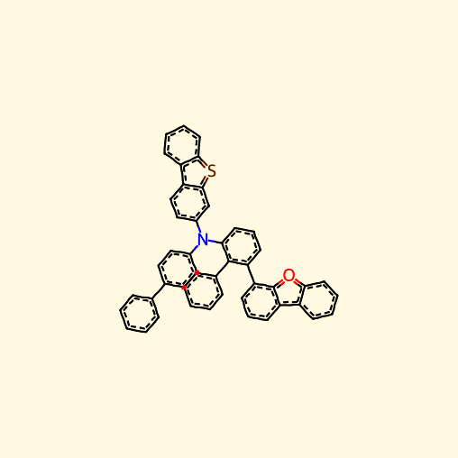 c1ccc(-c2ccc(N(c3ccc4c(c3)sc3ccccc34)c3cccc(-c4cccc5c4oc4ccccc45)c3-c3ccccc3)cc2)cc1